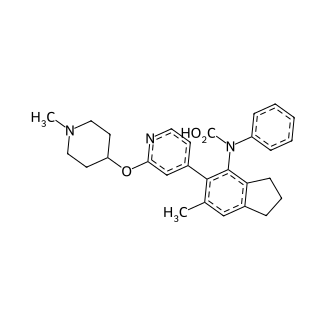 Cc1cc2c(c(N(C(=O)O)c3ccccc3)c1-c1ccnc(OC3CCN(C)CC3)c1)CCC2